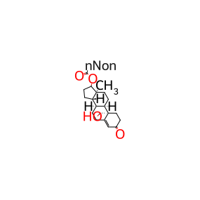 CCCCCCCCCC(=O)OC1CC[C@H]2[C@@H]3CCC4=CC(=O)CC[C@]4(CO)[C@@H]3CC[C@]12C